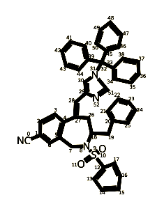 N#Cc1ccc2c(c1)CN(S(=O)(=O)c1ccccc1)C(Cc1ccccc1)CC2=Cc1cn(C(c2ccccc2)(c2ccccc2)c2ccccc2)cn1